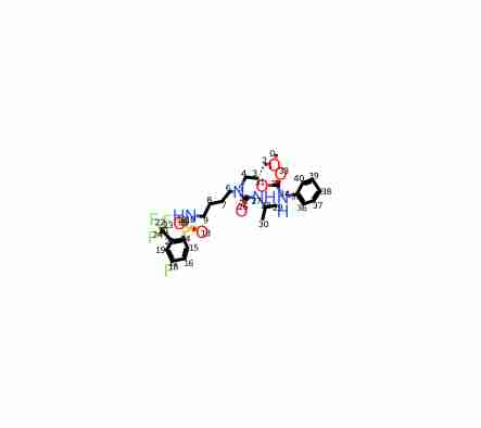 COC[C@@H](CN(CCCCNS(=O)(=O)c1ccc(F)cc1C(F)(F)F)C(=O)NC(C)C)OC(=O)Nc1ccccc1